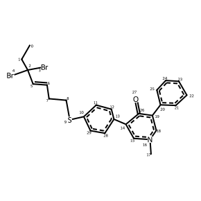 CCC(Br)(Br)/C=C/CCSc1ccc(-c2cn(C)cc(-c3ccccc3)c2=O)cc1